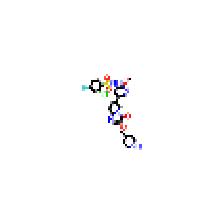 COc1ncc(C2C=Cc3ncc(OCC4CCNCC4)c(=O)n3C2)cc1NS(=O)(=O)c1ccc(F)cc1Cl